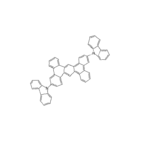 c1ccc2c(c1)c1cc(-n3c4ccccc4c4ccccc43)ccc1c1cc3c4ccccc4c4cc(-n5c6ccccc6c6ccccc65)ccc4c3cc21